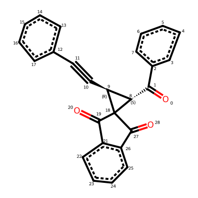 O=C(c1ccccc1)[C@H]1[C@H](C#Cc2ccccc2)C12C(=O)c1ccccc1C2=O